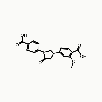 COc1cc(C2CC(=O)N(c3ccc(C(=O)O)cc3)C2)ccc1C(=O)O